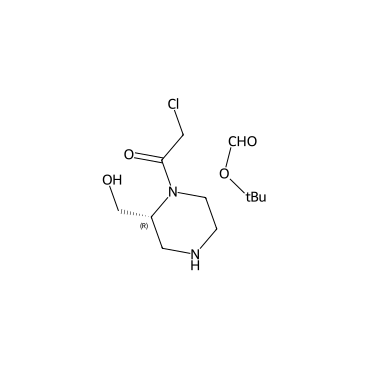 CC(C)(C)OC=O.O=C(CCl)N1CCNC[C@@H]1CO